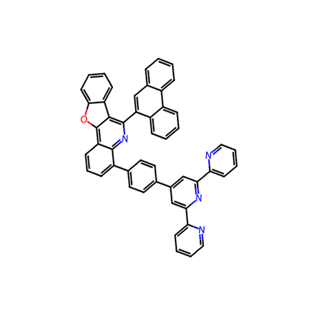 c1ccc(-c2cc(-c3ccc(-c4cccc5c4nc(-c4cc6ccccc6c6ccccc46)c4c6ccccc6oc54)cc3)cc(-c3ccccn3)n2)nc1